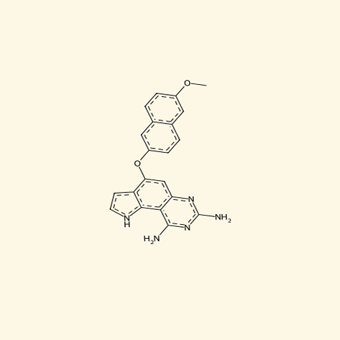 COc1ccc2cc(Oc3cc4nc(N)nc(N)c4c4[nH]ccc34)ccc2c1